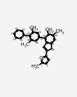 Cc1ccc(C2=Cc3c(cc(C)c(C)c3-c3cc(C)c(-c4ccccc4)c(C)c3)C2)o1